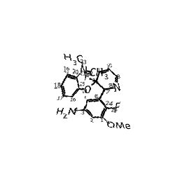 COc1cc(N)cc(C2N=CC=CC2(F)Oc2ccccc2N(C)C)c1F